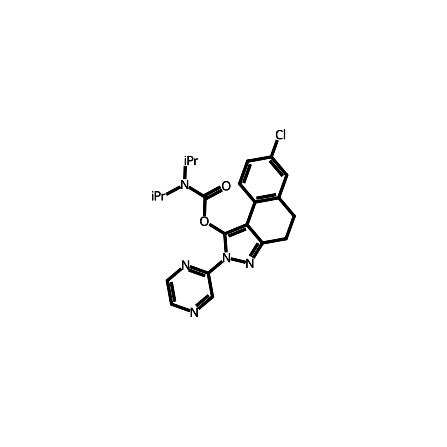 CC(C)N(C(=O)Oc1c2c(nn1-c1cnccn1)CCc1cc(Cl)ccc1-2)C(C)C